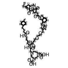 Cc1ccc(CCCC(=O)NCCCCC(NC(=O)CN2CCN(CC(=O)O)CCN(CC(=O)O)CC2)C(=O)NCCOCCOCc2cn(Cc3cccc4c3CN(C(=O)C[C@@H]3C[C@@H](C(=O)N5CC(F)(F)C[C@H]5C#N)NC3=O)C4)nn2)cc1